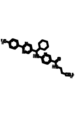 O=C(O)CCNC(=O)c1ccc(NC(c2cnc(-c3ccc(C(F)(F)F)cc3)nc2)C2CCCCC2)nc1